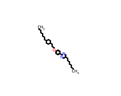 CCCCCCCCc1cnc(-c2ccc(OCCCC3CCC(CCCCCCCC)CC3)cc2)nc1